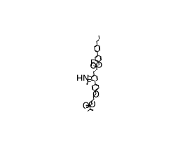 C=C(C)C(=O)OCCCOc1ccc(-c2ccc(CCC(=O)Oc3ccc(-c4ccc(CCC)cc4)cc3F)c(C=N)c2F)cc1